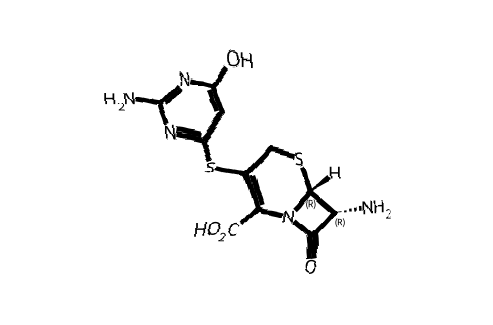 Nc1nc(O)cc(SC2=C(C(=O)O)N3C(=O)[C@@H](N)[C@H]3SC2)n1